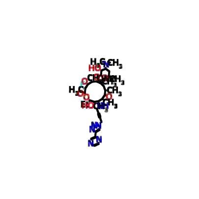 CC[C@H]1OC(=O)[C@@](C)(F)C(=O)[C@H](C)[C@@H](O[C@@H]2O[C@H](C)CC(N(C)C)C2O)[C@](C)(OC)C[C@@H](C)C(=O)[C@H](C)[C@@H](NCC#CCn2cc(-c3cnccn3)nn2)[C@]1(C)O